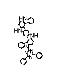 C1=c2c(n(-c3nc(-c4ccccc4)nc(-c4ccccc4)n3)c3ccc4[nH]c5cc6c(cc5c4c23)[nH]c2ccc3[nH]c4ccccc4c3c26)=CCC1